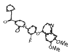 COc1cc2nccc(Oc3ccc(-n4ccc(C(=O)c5ccccc5)cc4=O)cc3F)c2cc1OC